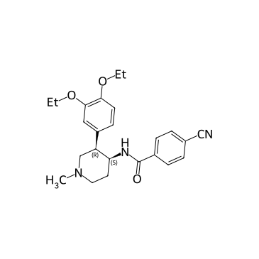 CCOc1ccc([C@@H]2CN(C)CC[C@@H]2NC(=O)c2ccc(C#N)cc2)cc1OCC